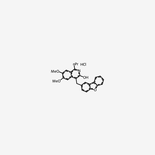 CCCc1nc(O)c(Cc2ccc3oc4ccccc4c3c2)c2cc(OC)c(OC)cc12.Cl